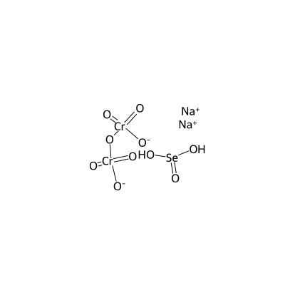 O=[Se](O)O.[Na+].[Na+].[O]=[Cr](=[O])([O-])[O][Cr](=[O])(=[O])[O-]